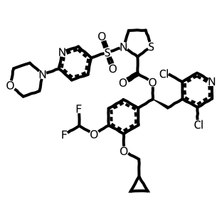 O=C(O[C@@H](Cc1c(Cl)cncc1Cl)c1ccc(OC(F)F)c(OCC2CC2)c1)C1SCCN1S(=O)(=O)c1ccc(N2CCOCC2)nc1